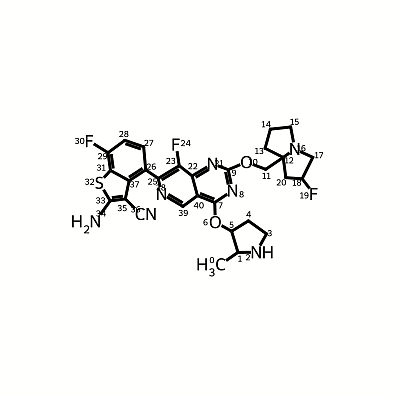 CC1NCCC1Oc1nc(OCC23CCCN2CC(F)C3)nc2c(F)c(-c3ccc(F)c4sc(N)c(C#N)c34)ncc12